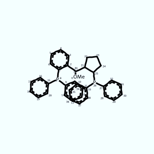 CO[C@@H](c1ccccc1P(c1ccccc1)c1ccccc1)C1CCCC1P(c1ccccc1)c1ccccc1